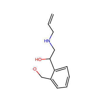 C=CCNCC(O)c1ccccc1C[O]